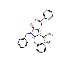 CN[C@@H](C(=O)O)[C@@H]1[C@@H](CC(=O)c2ccccc2)C(=O)N(Cc2ccccc2)[C@H]1Cc1ccccc1